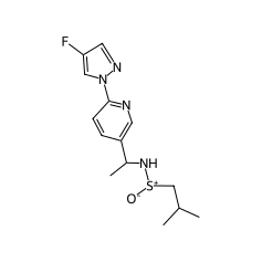 CC(C)C[S+]([O-])NC(C)c1ccc(-n2cc(F)cn2)nc1